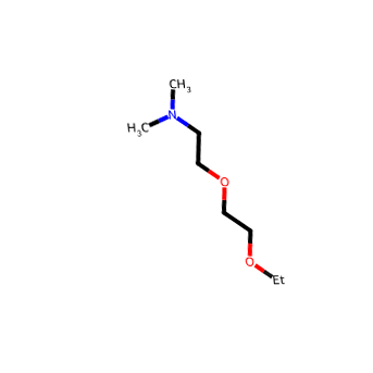 CCOCCOCCN(C)C